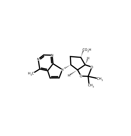 Cc1ncnc2c1ccn2[C@@H]1C[C@H](C(=O)O)[C@H]2OC(C)(C)O[C@H]21